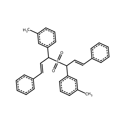 Cc1cccc(C(C=Cc2ccccc2)S(=O)(=O)C(C=Cc2ccccc2)c2cccc(C)c2)c1